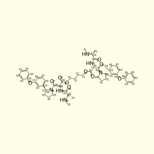 CN[C@@H](C)C(=O)N[C@@H](C(=O)OCCCCOC(=O)[C@H](NC(=O)[C@H](C)NC)C(=O)N1CCC[C@H]1c1cccc(Oc2ccccc2)c1)C(=O)N1CCC[C@H]1C1(C)C=C(Oc2ccccc2)C=CC1